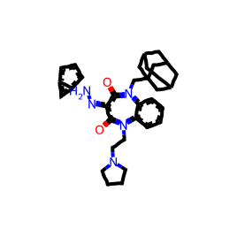 NN=c1c(=O)n(CCN2CCCC2)c2ccccc2n(CC23CC4CC(CC(C4)C2)C3)c1=O.c1cc2cc-2c1